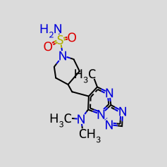 Cc1nc2ncnn2c(N(C)C)c1CC1CCN(S(N)(=O)=O)CC1